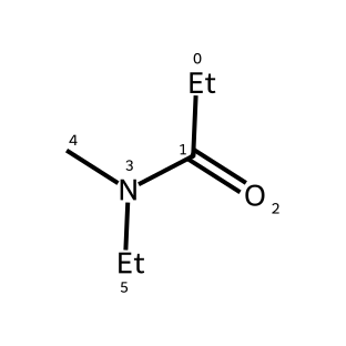 CCC(=O)N(C)CC